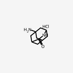 Cl.NC12CC3CC(C1)NC(=O)C(C3)C2